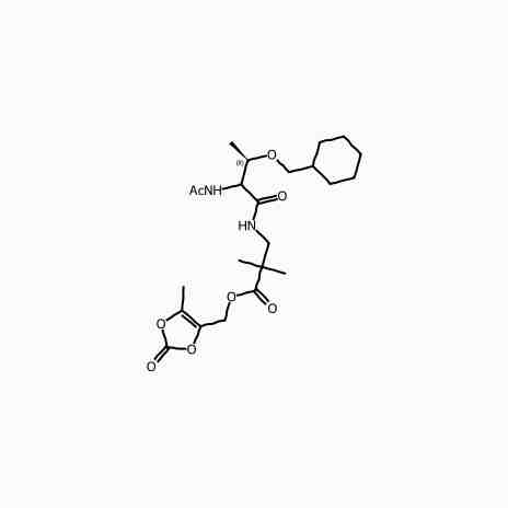 CC(=O)NC(C(=O)NCC(C)(C)C(=O)OCc1oc(=O)oc1C)[C@@H](C)OCC1CCCCC1